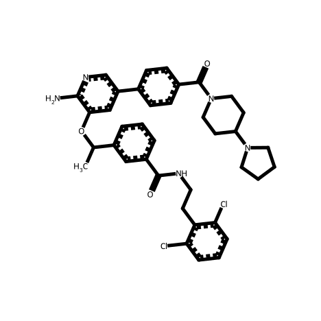 CC(Oc1cc(-c2ccc(C(=O)N3CCC(N4CCCC4)CC3)cc2)cnc1N)c1cccc(C(=O)NCCc2c(Cl)cccc2Cl)c1